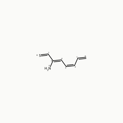 C=C/C=C\C=C(/N)C=S